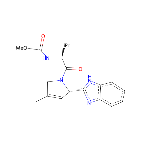 COC(=O)N[C@H](C(=O)N1CC(C)=C[C@H]1c1nc2ccccc2[nH]1)C(C)C